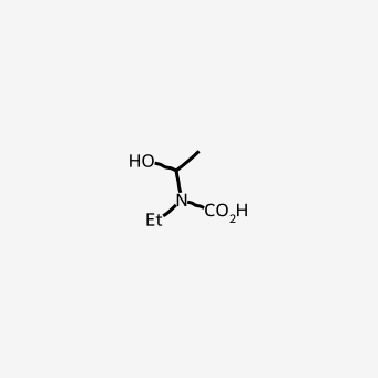 CCN(C(=O)O)C(C)O